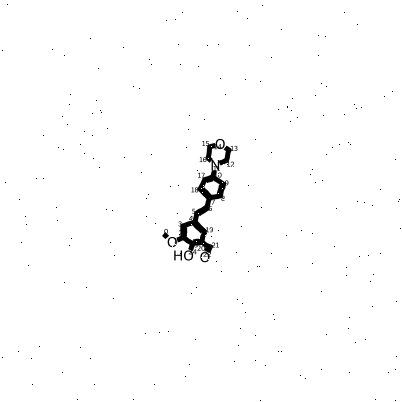 COc1cc(C=Cc2ccc(N3CCOCC3)cc2)cc(C=O)c1O